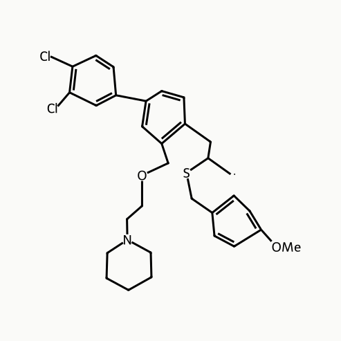 [CH2]C(Cc1ccc(-c2ccc(Cl)c(Cl)c2)cc1COCCN1CCCCC1)SCc1ccc(OC)cc1